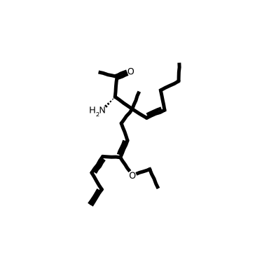 C=C/C=C\C(=C/CC(C)(/C=C\CCC)[C@H](N)C(C)=O)OCC